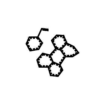 C=Cc1ccccc1.c1cc2cccc3c4cccc5cccc(c(c1)c23)c54